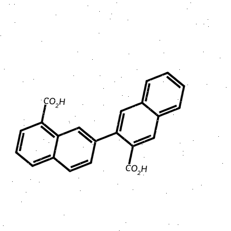 O=C(O)c1cc2ccccc2cc1-c1ccc2cccc(C(=O)O)c2c1